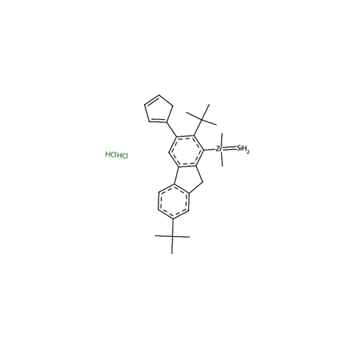 CC(C)(C)c1ccc2c(c1)Cc1c-2cc(C2=CC=CC2)c(C(C)(C)C)[c]1[Zr]([CH3])([CH3])=[SiH2].Cl.Cl